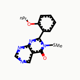 CCCOc1ccccc1-c1nc2ncncc2c(=O)n1SC